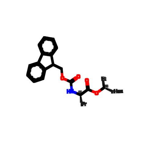 CCCCCC[C@@H](CC)OC(=O)[C@@H](NC(=O)OCC1c2ccccc2-c2ccccc21)C(C)C